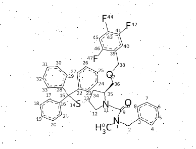 CN(Cc1ccccc1)C(=O)N1C[C@H](SC(c2ccccc2)(c2ccccc2)c2ccccc2)C[C@H]1COCc1cc(F)c(F)cc1F